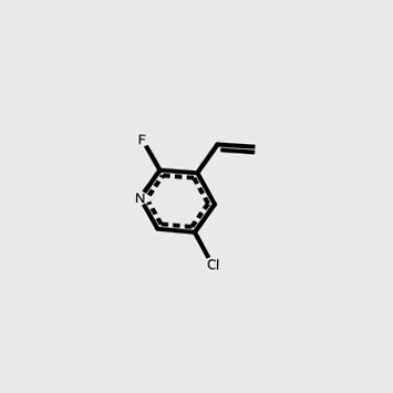 C=Cc1cc(Cl)cnc1F